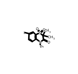 CC(C)N1C(=O)C(C)(C)S(=O)(=O)c2cc(I)ccc21